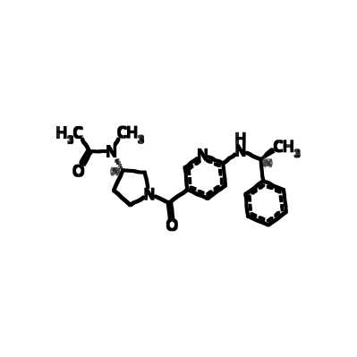 CC(=O)N(C)[C@H]1CCN(C(=O)c2ccc(N[C@@H](C)c3ccccc3)nc2)C1